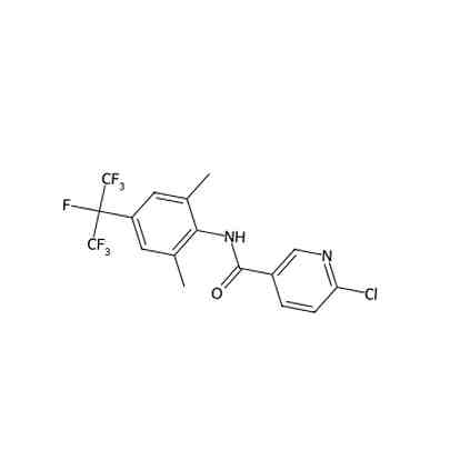 Cc1cc(C(F)(C(F)(F)F)C(F)(F)F)cc(C)c1NC(=O)c1ccc(Cl)nc1